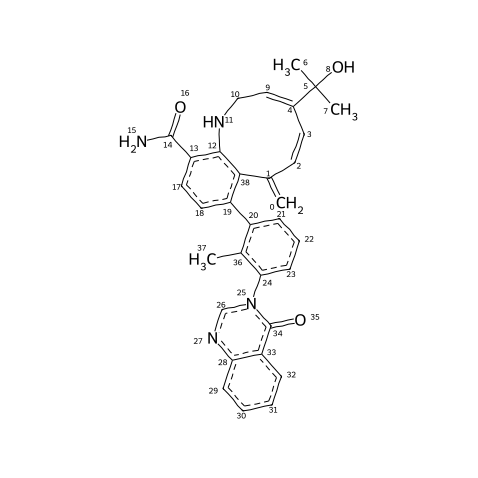 C=C1/C=C\C(C(C)(C)O)=C/CNc2c(C(N)=O)ccc(-c3cccc(-n4cnc5ccccc5c4=O)c3C)c21